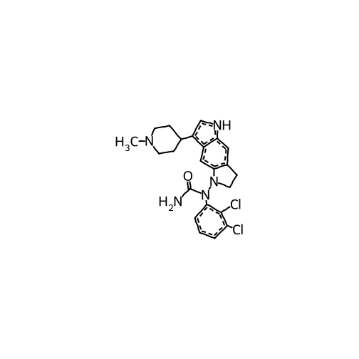 CN1CCC(c2c[nH]c3cc4c(cc23)N(N(C(N)=O)c2cccc(Cl)c2Cl)CC4)CC1